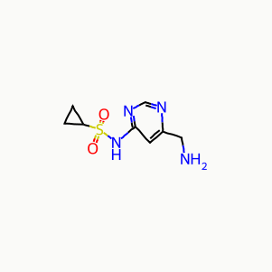 NCc1cc(NS(=O)(=O)C2CC2)ncn1